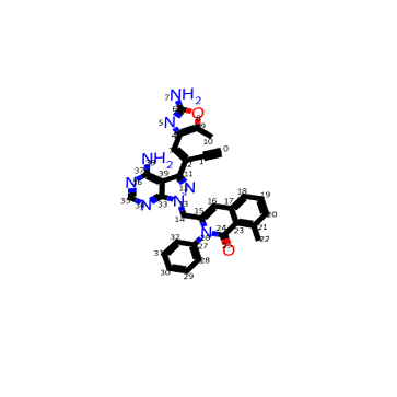 C#C/C(=C\c1nc(N)oc1C)c1nn(Cc2cc3cccc(C)c3c(=O)n2-c2ccccc2)c2ncnc(N)c12